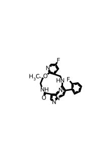 C[C@H]1CNC(=O)c2cnn3cc(-c4ccccc4F)c(nc23)NCc2cc(F)cnc2O1